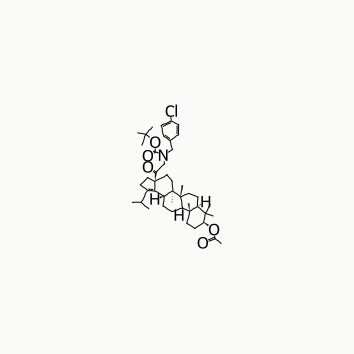 CC(=O)O[C@H]1CC[C@]2(C)[C@H]3CC[C@@H]4C5=C(C(C)C)CC[C@]5(C(=O)CN(Cc5ccc(Cl)cc5)C(=O)OC(C)(C)C)CC[C@@]4(C)[C@]3(C)CC[C@H]2C1(C)C